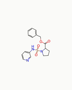 O=C(OCc1ccccc1)C1CCCN1S(=O)(=O)Nc1cccnc1